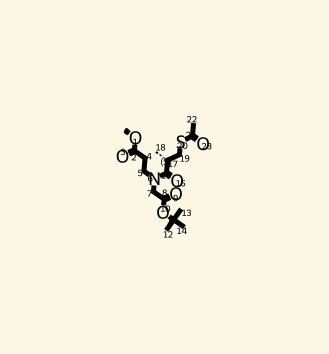 COC(=O)CCN(CC(=O)OC(C)(C)C)C(=O)[C@H](C)CSC(C)=O